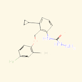 Cc1cc(Br)ccc1OCc1c(NC(=O)NN)cccc1C1CC1